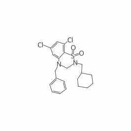 O=S1(=O)c2c(Cl)cc(Cl)cc2N(Cc2ccccc2)CN1CC1CCCCC1